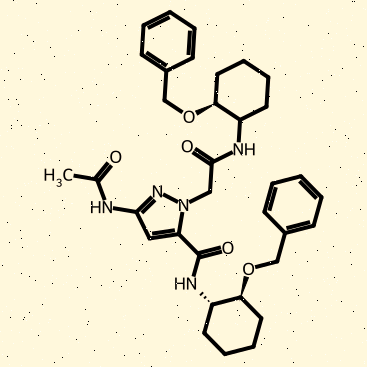 CC(=O)Nc1cc(C(=O)N[C@H]2CCCC[C@@H]2OCc2ccccc2)n(CC(=O)NC2CCCC[C@@H]2OCc2ccccc2)n1